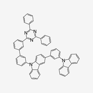 c1ccc(-c2nc(-c3ccccc3)nc(-c3cccc(-c4cccc(-n5c6ccccc6c6cc(-c7cccc(-n8c9ccccc9c9ccccc98)c7)ccc65)c4)c3)n2)cc1